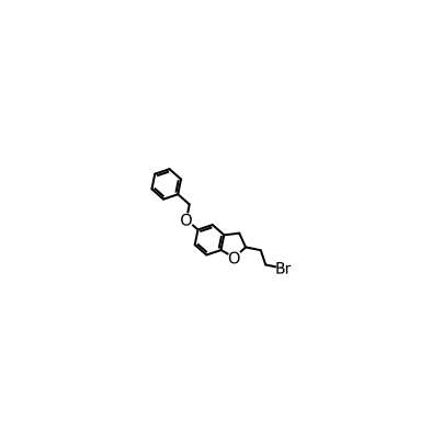 BrCCC1Cc2cc(OCc3ccccc3)ccc2O1